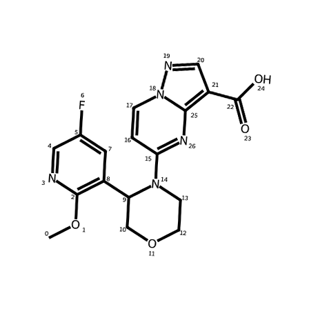 COc1ncc(F)cc1C1COCCN1c1ccn2ncc(C(=O)O)c2n1